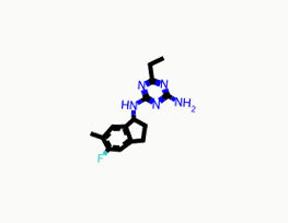 CCc1nc(N)nc(NC2CCc3cc(F)c(C)cc32)n1